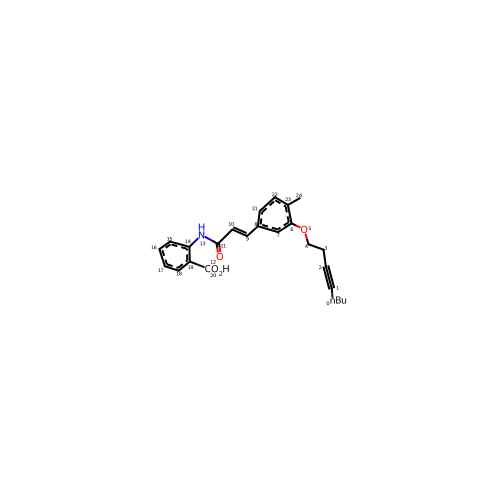 CCCCC#CCCOc1cc(/C=C/C(=O)Nc2ccccc2C(=O)O)ccc1C